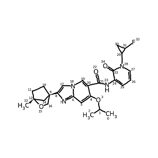 CC(C)Oc1cc2nc([C@]34CC[C@](C)(C3)OC4)cn2cc1C(=O)Nc1cccn(C2CC2F)c1=O